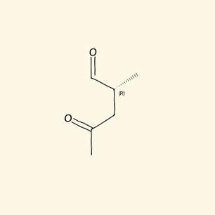 CC(=O)C[C@@H](C)C=O